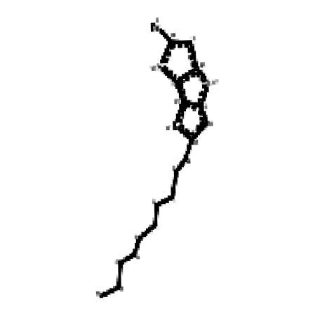 CCCCCCCCCCc1cc2sc3cc(Br)sc3c2s1